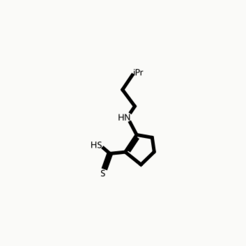 CC(C)CCNC1=C(C(=S)S)CCC1